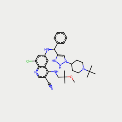 COC(C)(C)CNc1c(C#N)cnc2c(Cl)cc(N[C@H](C3=CN(C4CCN(C(C)(C)C)CC4)NN3)c3ccccc3)cc12